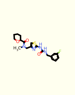 CN(Cc1csc(NC(=O)NCc2cccc(F)c2)n1)C(=O)C1CCCCO1